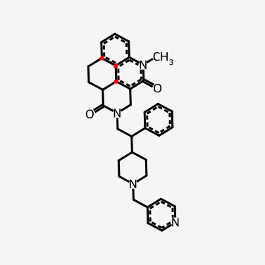 Cn1c(=O)c(CN(CC(c2ccccc2)C2CCN(Cc3ccncc3)CC2)C(=O)C2CCCCC2)cc2ccccc21